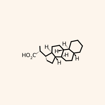 C[C@@H](C(=O)O)[C@H]1CC[C@H]2[C@@H]3CC[C@H]4CCCC[C@@H]4[C@H]3CC[C@@H]21